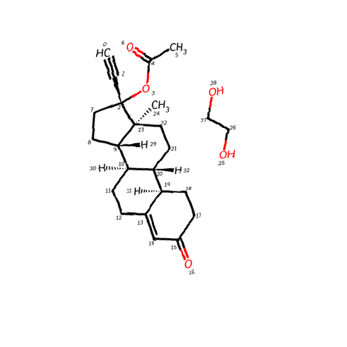 C#C[C@]1(OC(C)=O)CC[C@H]2[C@@H]3CCC4=CC(=O)CC[C@@H]4[C@H]3CC[C@@]21C.OCCO